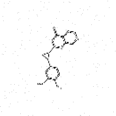 COc1cc(C2CC2c2nc3cnccc3c(=O)o2)ccc1C